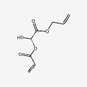 C=CCOC(=O)C(O)OC(=O)C=C